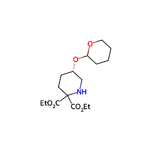 CCOC(=O)C1(C(=O)OCC)CC[C@H](OC2CCCCO2)CN1